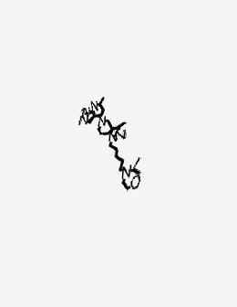 Cc1cc(N2CCc3c(c(C)nn3CCCCCN3CCOC[C@@H]3C)C2)c2cnn(C)c2n1